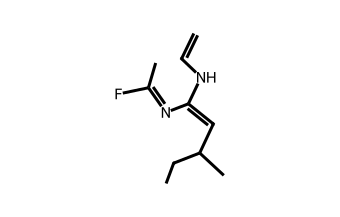 C=CNC(=C/C(C)CC)/N=C(\C)F